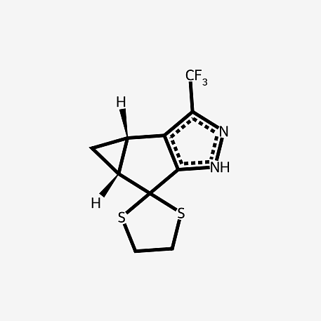 FC(F)(F)c1n[nH]c2c1[C@H]1C[C@H]1C21SCCS1